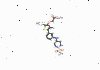 COC(=O)COc1c(C(=O)O)sc(-c2cccc(NC3CCN(S(=O)(=O)C(C)C)CC3)c2)c1C